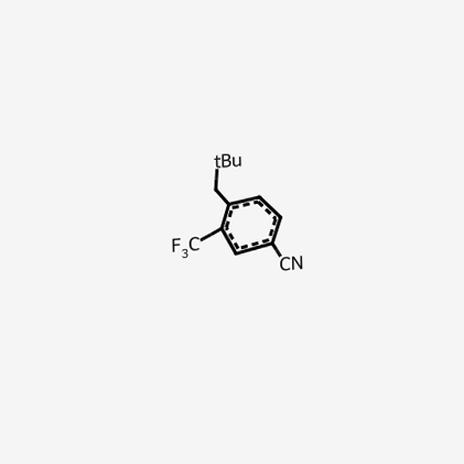 CC(C)(C)Cc1ccc(C#N)cc1C(F)(F)F